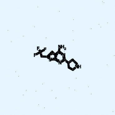 Nc1nc(C2CCNCC2)nc2sc(CC(F)(F)F)cc12